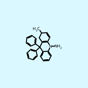 CC1C=CC2=C(C1)C(c1ccccc1)(c1ccccc1)c1ccccc1N2N